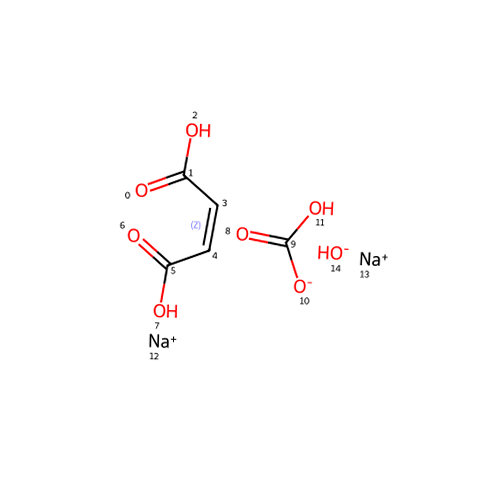 O=C(O)/C=C\C(=O)O.O=C([O-])O.[Na+].[Na+].[OH-]